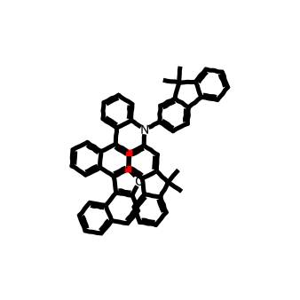 CC1(C)c2ccccc2-c2ccc(N(c3ccc4c(c3)C(C)(C)c3ccccc3-4)c3ccccc3-c3cc4oc5ccc6ccccc6c5c4c4ccccc34)cc21